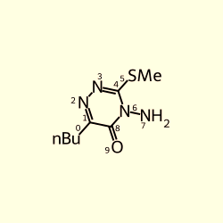 CCCCc1nnc(SC)n(N)c1=O